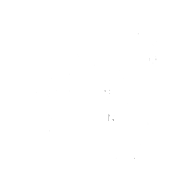 CCC1C(c2cccc3sc4ccccc4c23)=NC(c2ccc(-c3ccccc3)cc2)=NC1c1cc2oc3ccccc3c2cc1C1CCc2cc3ccccc3cc2-c2ccc3ccccc3c21